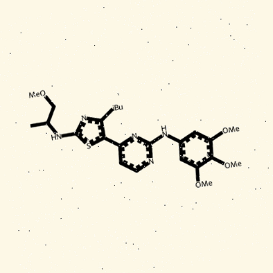 CCC(C)c1nc(NC(C)COC)sc1-c1ccnc(Nc2cc(OC)c(OC)c(OC)c2)n1